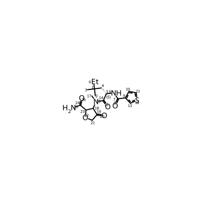 CCC(C)(C)C[C@H](NC(=O)c1ccsc1)C(=O)N(C)C1C(=O)COC1C(N)=O